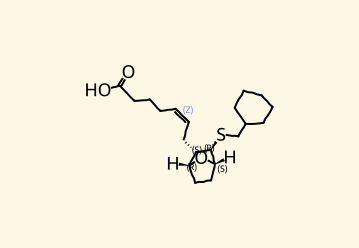 O=C(O)CCC/C=C\C[C@@H]1[C@@H](SCC2CCCCC2)[C@@H]2CC[C@H]1O2